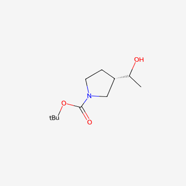 CC(O)[C@H]1CCN(C(=O)OC(C)(C)C)C1